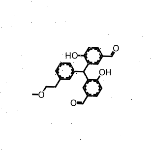 COCCc1cccc(C(c2cc(C=O)ccc2O)c2cc(C=O)ccc2O)c1